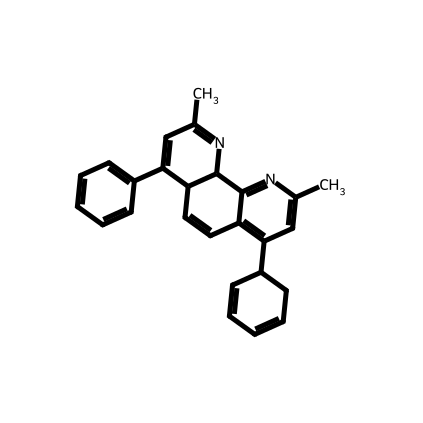 CC1=NC2c3nc(C)cc(C4C=CC=CC4)c3C=CC2C(c2ccccc2)=C1